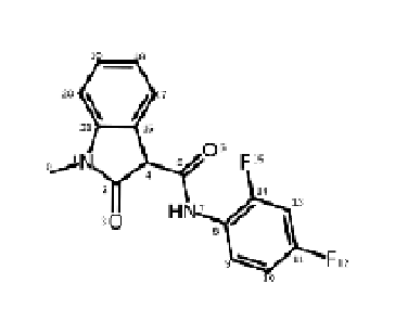 CN1C(=O)C(C(=O)Nc2ccc(F)cc2F)c2ccccc21